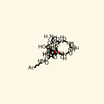 CCC(C)C1NC(=O)CNC(=O)C2Cc3c([nH]c4cc(O)ccc34)[S+]([O-])CC(NC(=O)CNC1=O)C(=O)NC(CC(N)=O)C(=O)N1CC(O)CC1C(=O)NC(C(C)C(O)COC(=O)NCCCCCC(C)=O)C(=O)N2